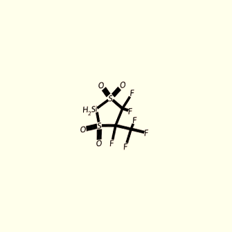 O=S1(=O)[SiH2]S(=O)(=O)C(F)(C(F)(F)F)C1(F)F